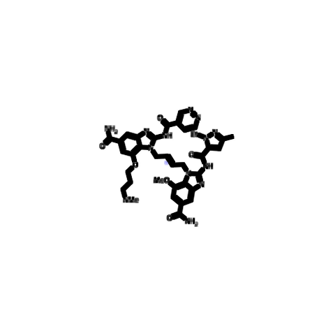 CCn1nc(C)cc1C(=O)Nc1nc2cc(C(N)=O)cc(OC)c2n1C/C=C/Cn1c(NC(=O)c2ccnnc2)nc2cc(C(N)=O)cc(OCCCNC)c21